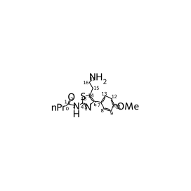 CCCC(=O)Nc1nc(-c2ccc(OC)cc2)c(CCN)s1